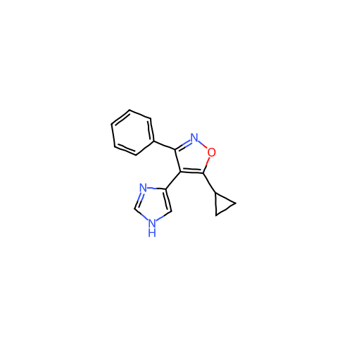 c1ccc(-c2noc(C3CC3)c2-c2c[nH]cn2)cc1